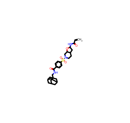 C=CC(=O)NC1CC2CCN(S(=O)(=O)c3ccc(C(=O)NCC45CC6CC(CC(C6)C4)C5)cc3)CC2O1